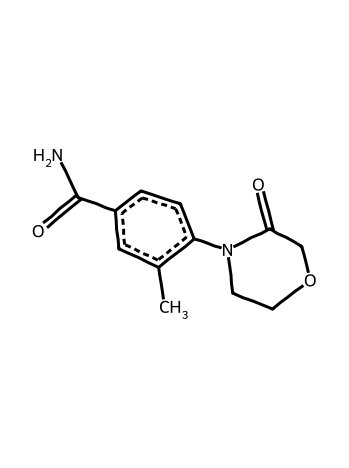 Cc1cc(C(N)=O)ccc1N1CCOCC1=O